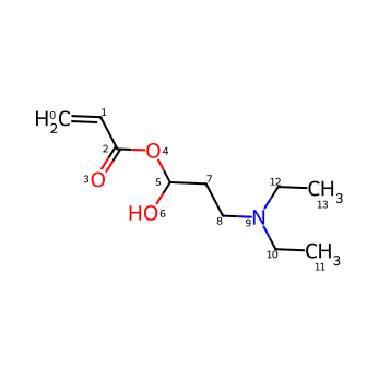 C=CC(=O)OC(O)CCN(CC)CC